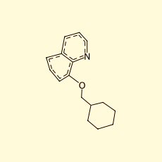 c1cnc2c(OCC3CCCCC3)cccc2c1